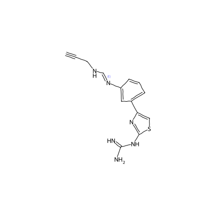 C#CCN/C=N/c1cccc(-c2csc(NC(=N)N)n2)c1